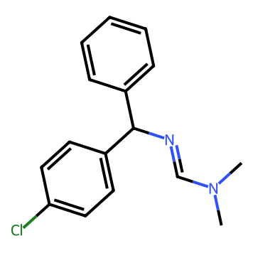 CN(C)C=NC(c1ccccc1)c1ccc(Cl)cc1